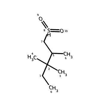 CCC(C)(C)C(C)C[SH](=O)=O